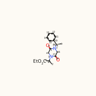 CCOC(=O)[C@H](C)N1CC(=O)N([C@H](C)c2ccccc2)CC1=O